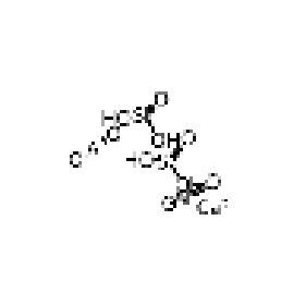 O=[Si](O)O.O=[Si](O)O.[Ca+2].[O]=[Al][O-].[O]=[Al][O-]